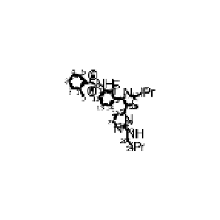 Cc1ccccc1S(=O)(=O)Nc1cccc(-c2nc(C(C)C)sc2-c2ccnc(NCC(C)C)n2)c1F